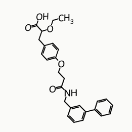 CCOC(Cc1ccc(OCCC(=O)NCc2cccc(-c3ccccc3)c2)cc1)C(=O)O